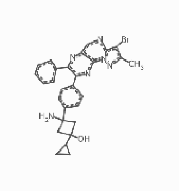 Cc1nn2c(ncc3nc(-c4ccccc4)c(-c4ccc(C5(N)CC(O)(C6CC6)C5)cc4)nc32)c1Br